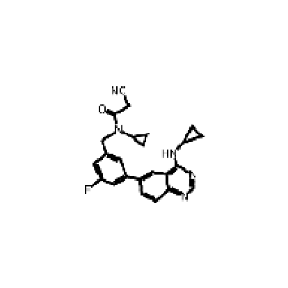 N#CCC(=O)N(Cc1cc(F)cc(-c2ccc3ncnc(NC4CC4)c3c2)c1)C1CC1